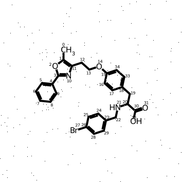 Cc1oc(-c2ccccc2)nc1CCOc1ccc(CC(NCc2ccc(Br)cc2)C(=O)O)cc1